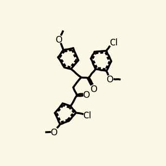 COc1ccc(C(CC(=O)c2ccc(OC)cc2Cl)C(=O)c2ccc(Cl)cc2OC)cc1